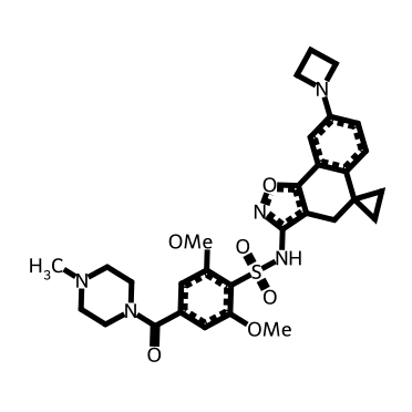 COc1cc(C(=O)N2CCN(C)CC2)cc(OC)c1S(=O)(=O)Nc1noc2c1CC1(CC1)c1ccc(N3CCC3)cc1-2